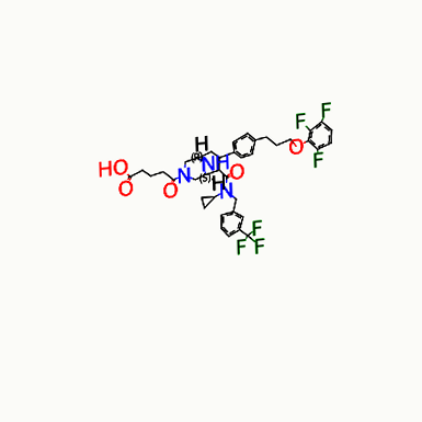 O=C(O)CCCC(=O)N1C[C@H]2CC(c3ccc(CCCOc4c(F)ccc(F)c4F)cc3)=C(C(=O)N(Cc3cccc(C(F)(F)F)c3)C3CC3)[C@@H](C1)N2